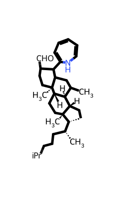 CC(C)CCC[C@@H](C)[C@H]1CC[C@H]2[C@@H]3C(C)CC4C(C5=CC=CC=CN5)C(C=O)CC[C@]4(C)[C@H]3CC[C@]12C